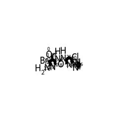 CO[C@@H](C)c1c(NC(=O)Nc2cnc(-n3nccn3)c(Cl)c2)cnc(N)c1Br